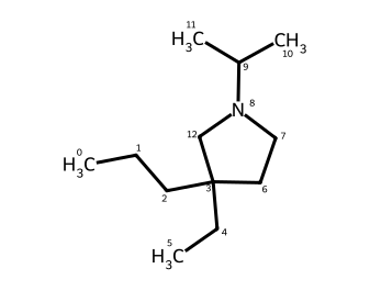 CCCC1(CC)CCN(C(C)C)C1